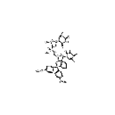 CC[C@H]1O[C@@H](n2cc(C)c(=O)[nH]c2=O)CC1P(=O)(OC[C@H]1O[C@@H](n2cc(C)c(=O)[nH]c2=O)CC1OC(c1ccccc1)(c1ccc(OC)cc1)c1ccc(OC)cc1)SC